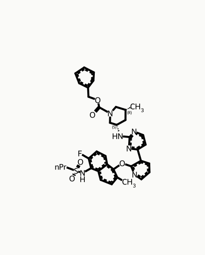 CCCS(=O)(=O)Nc1c(F)ccc2c(Oc3ncccc3-c3ccnc(N[C@H]4C[C@@H](C)CN(C(=O)OCc5ccccc5)C4)n3)c(C)ccc12